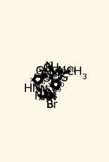 CNS(=O)(=O)C1CC[C@@H](Nc2ncc3c(Br)nn(-c4ccc(-c5nnc(C)s5)c(CCC#N)c4)c3n2)C1